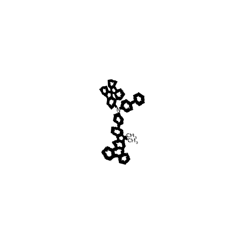 CC1(C)c2cc(-c3ccc(N(c4ccc(-c5ccccc5)cc4)c4ccc5c(c4)C4(c6ccccc6-c6ccccc64)c4ccccc4-5)cc3)ccc2-c2cc3c4ccccc4c4ccccc4c3cc21